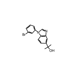 CC(C)(O)c1ccc2c(c1)ncn2-c1cccc(Br)c1